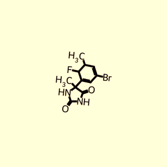 CC1C=C(Br)C=C(C2(C)NC(=O)NC2=O)C1F